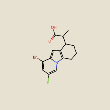 CC(C(=O)O)C1CCCc2c1cc1c(Br)cc(F)cn21